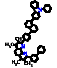 Cc1c(-c2ccc(-c3cccc4c(-c5ccc6c(c5)c5ccccc5n6-c5ccccc5)cccc34)cc2)nc2c(ccc3c(C)c(C)c(-c4cccc(-c5ccccc5)c4)nc32)c1C